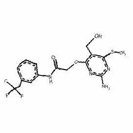 CSc1nc(N)nc(OCC(=O)Nc2cccc(C(F)(F)F)c2)c1CO